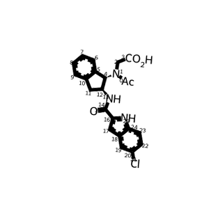 CC(=O)N(CC(=O)O)[C@H]1c2ccccc2C[C@@H]1NC(=O)c1cc2cc(Cl)ccc2[nH]1